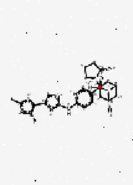 Cc1nc(C)c(-c2csc(Nc3ccc(C(=O)N4C5C[C@@H](N6CCCC6=O)C[C@H]4C5)cn3)n2)s1